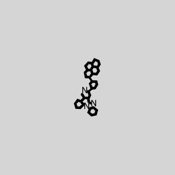 c1cc(-c2cc3c(cn2)c2ccccc2n2c4ccccc4nc32)cc(-c2ccc3ccc4cccc5ccc2c3c45)c1